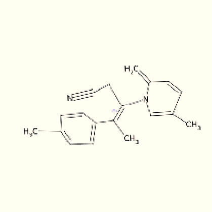 C=C1C=CC(C)=CN1/C(CC#N)=C(\C)c1ccc(C)cc1